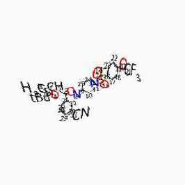 CC(C)(C)[Si](C)(C)OCC(ON=C1CCN(S(=O)(=O)c2ccc(OC(F)(F)F)cc2)CC1)c1cccc(C#N)c1